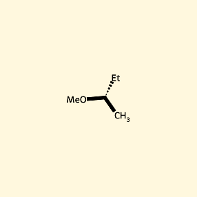 [CH2]C[C@H](C)OC